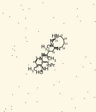 CCC/C=C1\C(NO)=C(C)C=CN1/N=C(\C)CC/C1=N/CCCCN/C=N/N1C